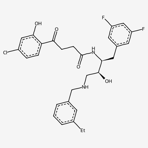 CCc1cccc(CNC[C@H](O)[C@H](Cc2cc(F)cc(F)c2)NC(=O)CCC(=O)c2ccc(Cl)cc2O)c1